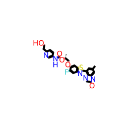 COc1cnc2c(-c3nc4cc(F)c(OC[C@@H](C)OC(=O)Nc5ccc(CCO)nc5)cc4s3)cc(C)cc2n1